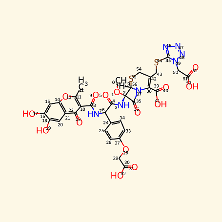 CO[C@@]1(NC(=O)C(NC(=O)c2c(C)oc3cc(O)c(O)cc3c2=O)c2ccc(OCC(=O)O)cc2)C(=O)N2C(C(=O)O)=C(CSc3nnnn3CC(=O)O)CS[C@H]21